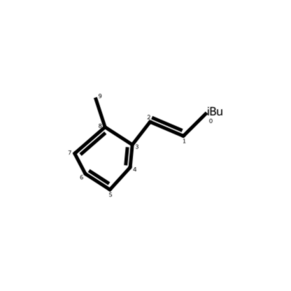 CCC(C)C=Cc1ccccc1C